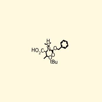 CC(OC(C)(C)C)[C@@H](C(=O)O)N(C(=O)OCc1ccccc1)[SiH](C)C